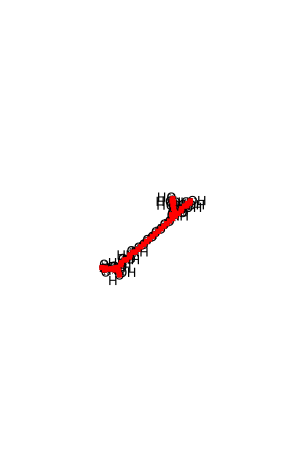 O=C(O)CC[C@H](NC(=O)CCN1C(=O)C=CC1=O)C(=O)NCC(=O)NCC(=O)NCC(=O)NCC(=O)NCCOCCOCCOCCOCCOCCOCCOCCOCCC(=O)N[C@@H](CCC(=O)NC[C@H](O)[C@@H](O)[C@H](O)[C@H](O)CO)C(=O)NC[C@H](O)[C@@H](O)[C@H](O)[C@H](O)CO